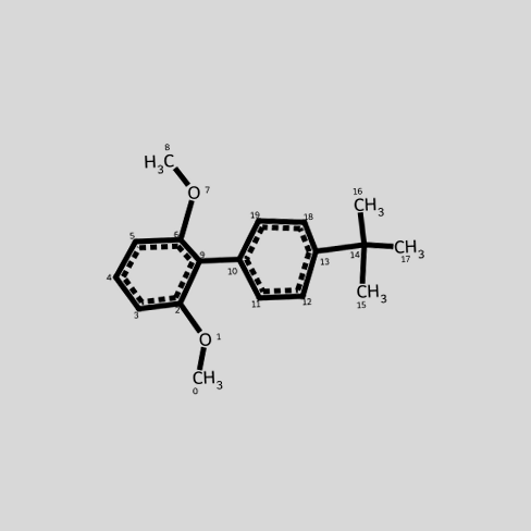 COc1cccc(OC)c1-c1ccc(C(C)(C)C)cc1